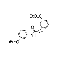 CCOC(=O)c1cccc(NC(=O)Nc2cccc(OC(C)C)c2)c1